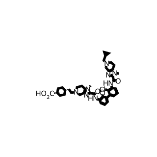 Cn1c(C(=O)Nc2cccc(-c3cccc(NC(=O)c4nc5c(n4C)CCN(CC4CC4)C5)c3Cl)c2Cl)nc2c1CCN(CC[C@H]1CC[C@H](C(=O)O)CC1)C2